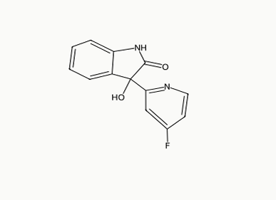 O=C1Nc2ccccc2C1(O)c1cc(F)ccn1